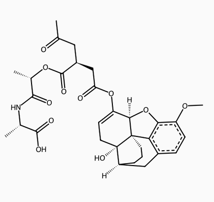 COc1ccc2c3c1O[C@@H]1C(OC(=O)C[C@H](CC(C)=O)C(=O)O[C@@H](C)C(=O)N[C@@H](C)C(=O)O)=CC[C@]4(O)[C@@H](CCC[C@@]314)C2